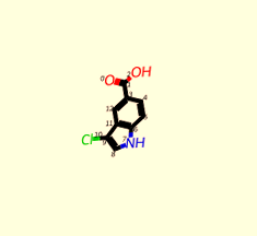 O=C(O)c1ccc2[nH]cc(Cl)c2c1